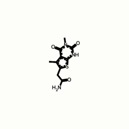 Cc1c(CC(N)=O)sc2[nH]c(=O)n(C)c(=O)c12